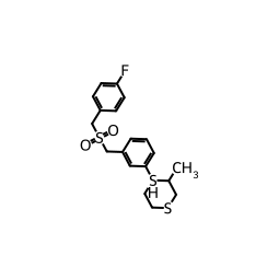 CC1CSCC[SH]1c1cccc(CS(=O)(=O)Cc2ccc(F)cc2)c1